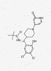 CC(C)(C)[S+]([O-])N[C@@H](c1cc(Cl)c(Cl)cc1O)C1CCN(c2cc[nH]c(=O)c2)CC1